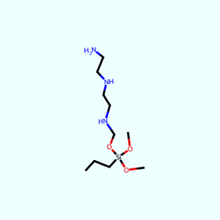 CCC[Si](OC)(OC)OCNCCNCCN